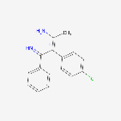 C/C(N)=C(/C(=N)c1ccccc1)c1ccc(Cl)cc1